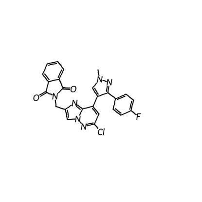 Cn1cc(-c2cc(Cl)nn3cc(CN4C(=O)c5ccccc5C4=O)nc23)c(-c2ccc(F)cc2)n1